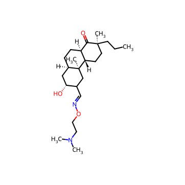 CCC[C@@]1(C)CC[C@H]2[C@@H](CC[C@@H]3C[C@@H](O)C(/C=N/OCCN(C)C)C[C@@]32C)C1=O